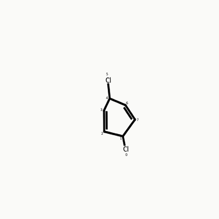 ClC1C=CC(Cl)C=C1